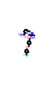 CNC(=O)c1cccc(Cn2nc(C)c(NC(=O)c3ccc(COc4ccc(C(F)(F)F)cc4)cc3)c2C)n1